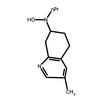 CCCN(O)C1CCc2cc(C)cnc2C1